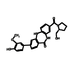 COc1cc(-c2ccc3c(c2)Nc2ccc(C(=O)N4CCC[C@H]4CO)cc2NC3=O)ccc1O